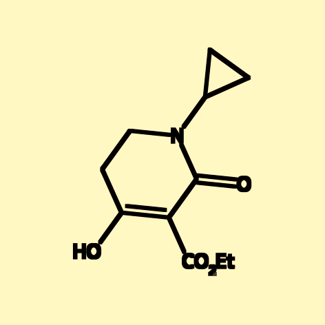 CCOC(=O)C1=C(O)CCN(C2CC2)C1=O